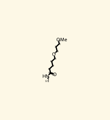 COCCCOCCCCC(=O)NI